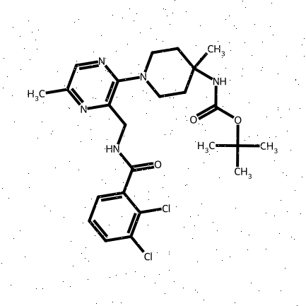 Cc1cnc(N2CCC(C)(NC(=O)OC(C)(C)C)CC2)c(CNC(=O)c2cccc(Cl)c2Cl)n1